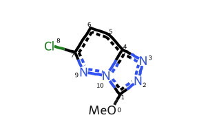 COc1nnc2ccc(Cl)nn12